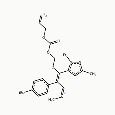 C=CCOC(=O)OCO/C(=C(/C=N\C)c1ccc(C(C)(C)C)cc1)c1cc(C)nn1CC